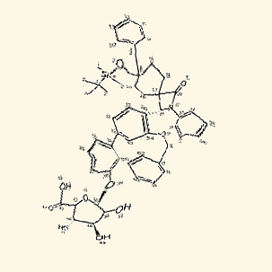 CC(C)(C)[Si](C)(C)OC1(c2ccccc2)CCC2(CC1)C(=O)N(c1ccccc1)[C@@H]2c1ccc(-c2cccc(O[C@@H]3OC(C(=O)O)[C@@H](O)[C@H](O)C3O)c2)cc1OCc1ccccc1